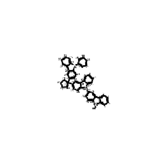 Cn1c2ccccc2c2cc(-n3c4ccccc4c4cc(C5(c6ccc7c(c6)c6ccccc6n7-c6ccccc6)CCCC5)ccc43)ccc21